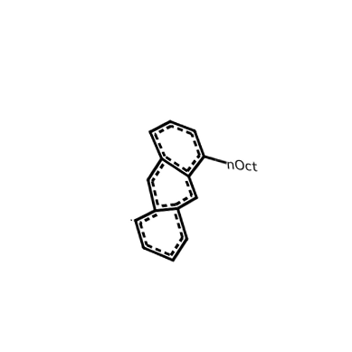 CCCCCCCCc1cccc2cc3[c]cccc3cc12